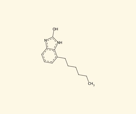 CCCCCCc1cccc2nc(O)[nH]c12